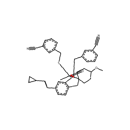 COC1CCC2(CC1)Cc1ccc(CCC3CC3)cc1C21N=C(SCc2cccc(C#N)c2)N(Cc2cccc(C#N)c2)C1=O